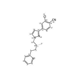 C[C@H](CCc1ccccn1)Cn1ccc(-c2ccc(C#N)c(Cl)c2)n1